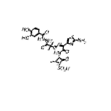 C[C@H]1[C@H](NC(=O)/C(=N\OC(C)(C)C(=O)NNC(=O)c2ccc(O)c(O)c2)c2csc(N)n2)C(=O)N1S(=O)(=O)O